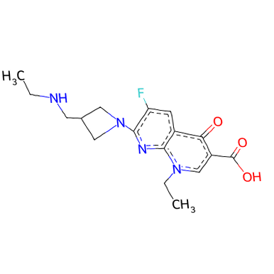 CCNCC1CN(c2nc3c(cc2F)c(=O)c(C(=O)O)cn3CC)C1